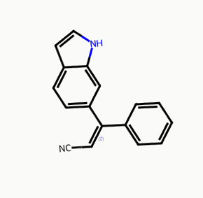 N#C/C=C(/c1ccccc1)c1ccc2cc[nH]c2c1